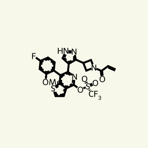 C=CC(=O)N1CC(c2n[nH]cc2-c2nc(OS(=O)(=O)C(F)(F)F)c3ccsc3c2-c2ccc(F)cc2OC)C1